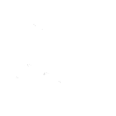 COC1(N(C)C)CCC(CN(C)C(OC)(c2ccccc2)c2cccc(COC(C)(C)N(C)C)c2)CC1